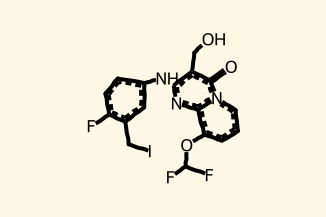 O=c1c(CO)c(Nc2ccc(F)c(CI)c2)nc2c(OC(F)F)cccn12